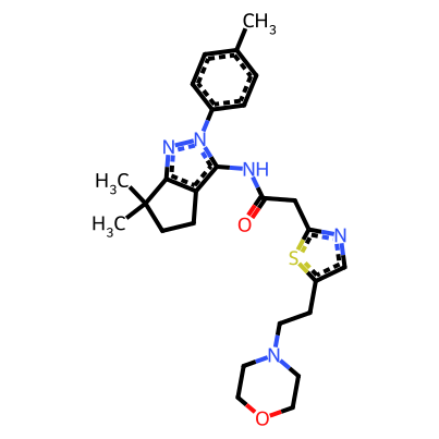 Cc1ccc(-n2nc3c(c2NC(=O)Cc2ncc(CCN4CCOCC4)s2)CCC3(C)C)cc1